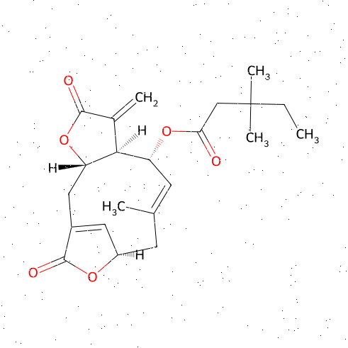 C=C1C(=O)O[C@H]2CC3=C[C@@H](C/C(C)=C/[C@@H](OC(=O)CC(C)(C)CC)[C@H]12)OC3=O